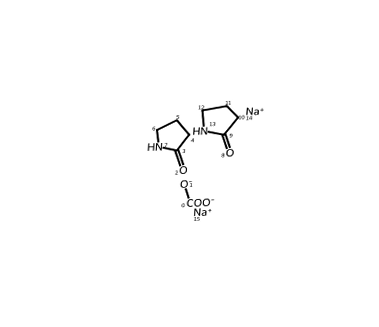 O=C([O-])[O-].O=C1CCCN1.O=C1CCCN1.[Na+].[Na+]